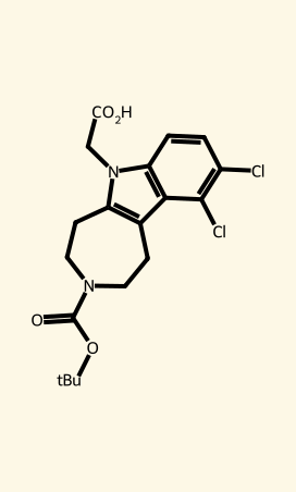 CC(C)(C)OC(=O)N1CCc2c(n(CC(=O)O)c3ccc(Cl)c(Cl)c23)CC1